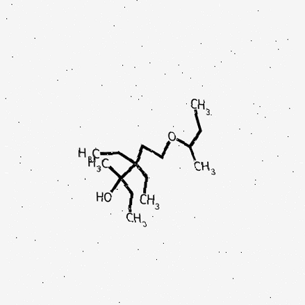 CCC(C)OCCC(CC)(CC)C(C)(O)CC